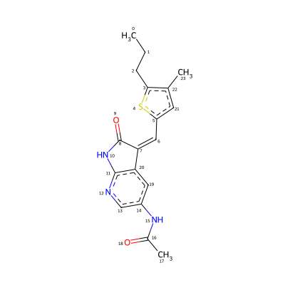 CCCc1sc(C=C2C(=O)Nc3ncc(NC(C)=O)cc32)cc1C